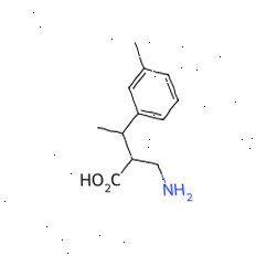 Cc1cccc(C(C)C(CN)C(=O)O)c1